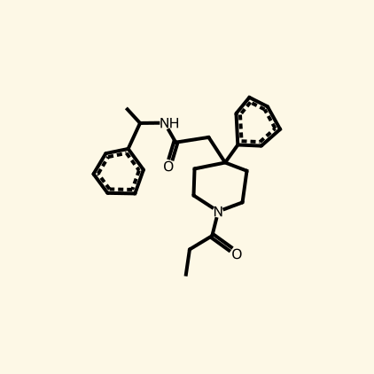 CCC(=O)N1CCC(CC(=O)NC(C)c2ccccc2)(c2ccccc2)CC1